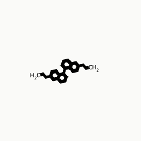 C=CCc1ccc2c(-c3[c]ccc4cc(CC=C)ccc34)[c]ccc2c1